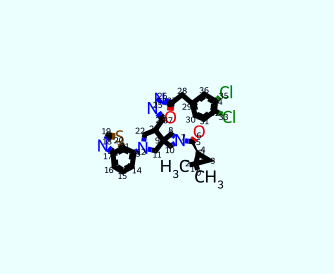 CC1(C)C[C@@H]1C(=O)N1CC2(C1)CN(c1cccc3ncsc13)CC2c1nnc(Cc2ccc(Cl)c(Cl)c2)o1